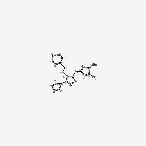 CC(C)(C)c1nc(Sc2nnc(-c3cccs3)n2CCc2ccccc2)sc1Br